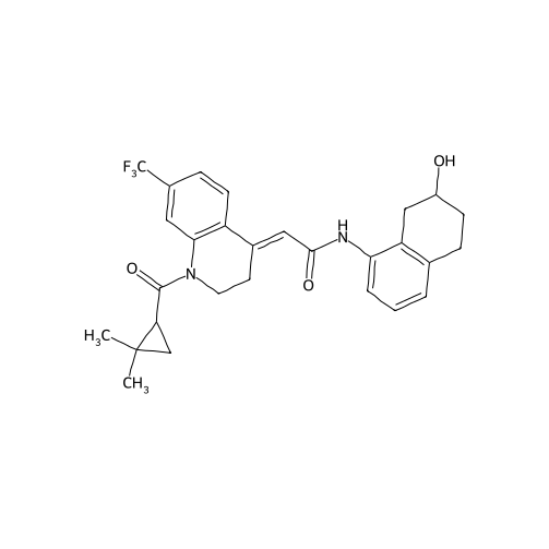 CC1(C)CC1C(=O)N1CC/C(=C\C(=O)Nc2cccc3c2CC(O)CC3)c2ccc(C(F)(F)F)cc21